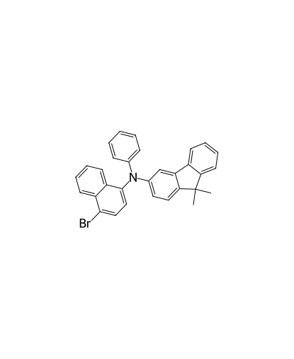 CC1(C)c2ccccc2-c2cc(N(c3ccccc3)c3ccc(Br)c4ccccc34)ccc21